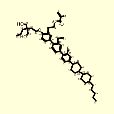 C=C(C)C(=O)OCCc1cc(-c2ccc(-c3ccc(C4CCC(C5CCC(CCCCC)CC5)CC4)cc3F)cc2CC)ccc1OCCC(CO)(CO)CCC